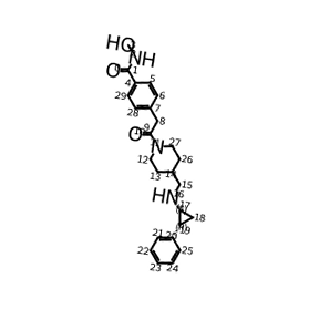 O=C(NO)c1ccc(CC(=O)N2CCC(CN[C@H]3C[C@@H]3c3ccccc3)CC2)cc1